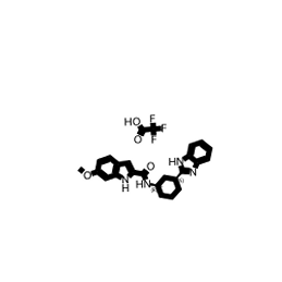 COc1ccc2cc(C(=O)N[C@@H]3CCC[C@H](c4nc5ccccc5[nH]4)C3)[nH]c2c1.O=C(O)C(F)(F)F